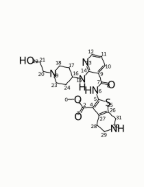 COC(=O)c1c(NC(=O)c2cccnc2NC2CCN(CCO)CC2)sc2c1CCNC2